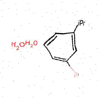 O.O.[B]c1cccc(C(C)C)c1